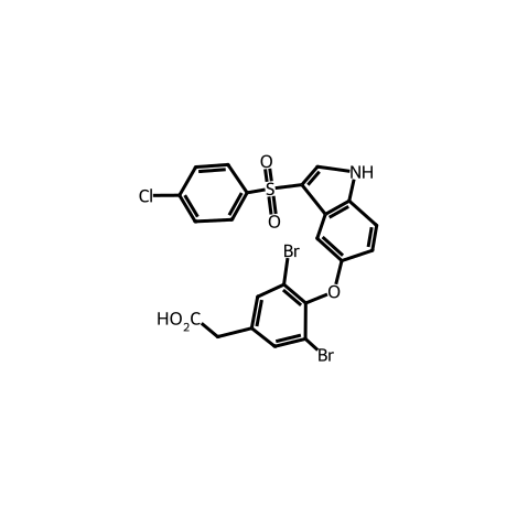 O=C(O)Cc1cc(Br)c(Oc2ccc3[nH]cc(S(=O)(=O)c4ccc(Cl)cc4)c3c2)c(Br)c1